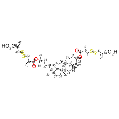 CC(CSSCC(C)C(=O)OC1CC[C@]2(C)C3=C(CC[C@H]2C1(C)C)[C@]1(C)CC[C@H]([C@H](C)CCCC(C)(C)OC(=O)[C@@H](C)CSSCC(C)C(=O)O)[C@@]1(C)CC3)C(=O)O